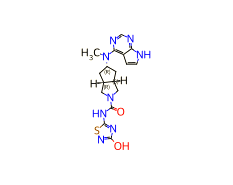 CN(c1ncnc2[nH]ccc12)[C@@H]1C[C@@H]2CN(C(=O)Nc3nc(O)ns3)C[C@@H]2C1